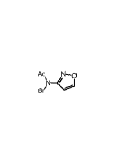 CC(=O)N(Br)c1ccon1